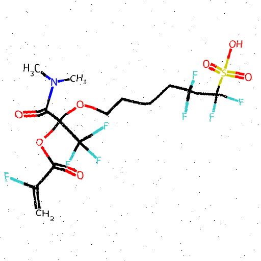 C=C(F)C(=O)OC(OCCCCC(F)(F)C(F)(F)S(=O)(=O)O)(C(=O)N(C)C)C(F)(F)F